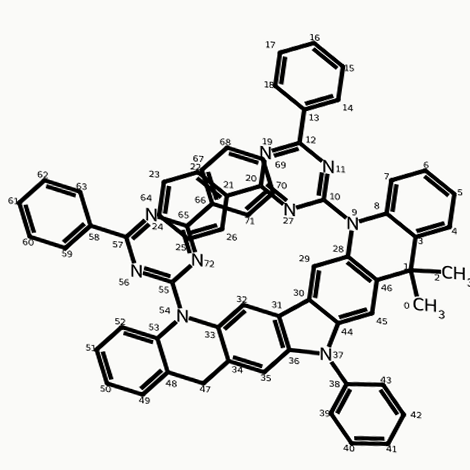 CC1(C)c2ccccc2N(c2nc(-c3ccccc3)nc(-c3ccccc3)n2)c2cc3c4cc5c(cc4n(-c4ccccc4)c3cc21)Cc1ccccc1N5c1nc(-c2ccccc2)nc(-c2ccccc2)n1